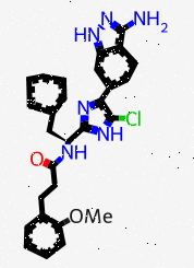 COc1ccccc1CCC(=O)N[C@@H](Cc1ccccc1)c1nc(-c2ccc3c(N)n[nH]c3c2)c(Cl)[nH]1